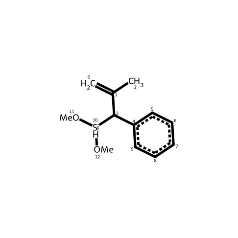 C=C(C)C(c1ccccc1)[SiH](OC)OC